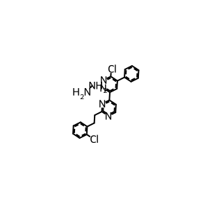 Clc1ccccc1CCc1nccc(-c2cc(-c3ccccc3)c(Cl)nn2)n1.NN